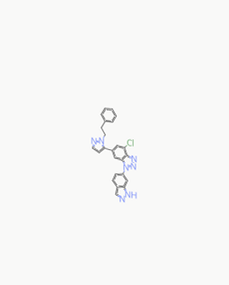 Clc1cc(-c2ccnn2CCc2ccccc2)cc2c1nnn2-c1ccc2cn[nH]c2c1